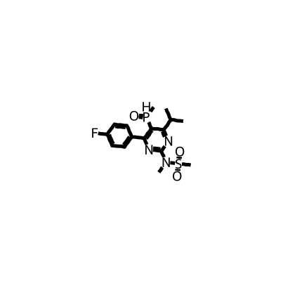 CC(C)c1nc(N(C)S(C)(=O)=O)nc(-c2ccc(F)cc2)c1[PH](C)=O